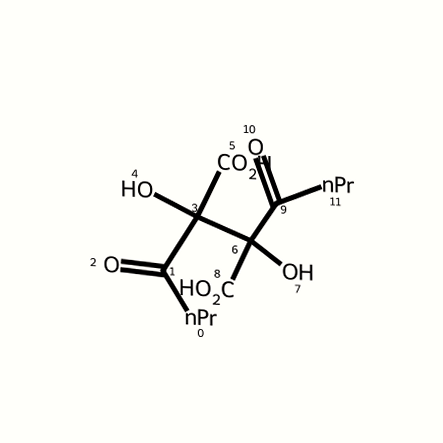 CCCC(=O)C(O)(C(=O)O)C(O)(C(=O)O)C(=O)CCC